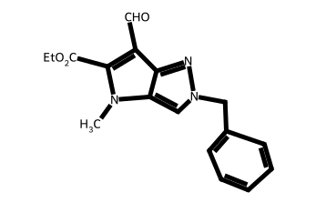 CCOC(=O)c1c(C=O)c2nn(Cc3ccccc3)cc2n1C